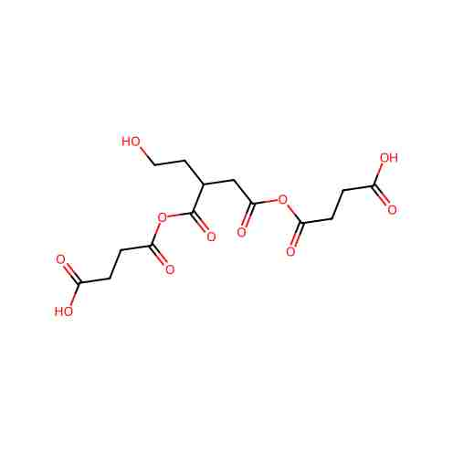 O=C(O)CCC(=O)OC(=O)CC(CCO)C(=O)OC(=O)CCC(=O)O